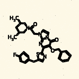 CC1CC(C)CN(C(=O)Cn2ccn3c(=O)c(OCc4ccccc4)c(-c4ncc(Cc5ccc(F)cc5)s4)nc23)C1